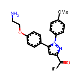 COc1ccc(-n2nc(C(=O)C(C)C)cc2-c2ccc(OCCN)cc2)cc1